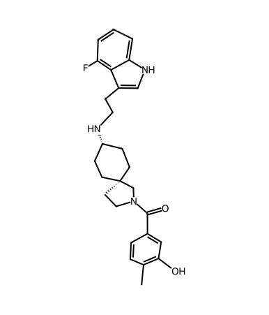 Cc1ccc(C(=O)N2CC[C@]3(CC[C@@H](NCCc4c[nH]c5cccc(F)c45)CC3)C2)cc1O